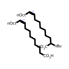 CCCCCCCC/C=C\CCCCCCC(CCCC)C(=O)O.CCCCCCCC/C=C\CCCCCCCC(=O)O